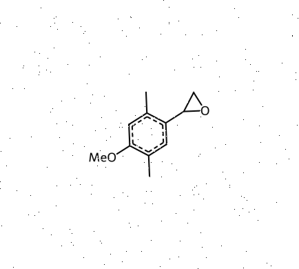 COc1cc(C)c(C2CO2)cc1C